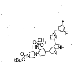 CC(C)(C)OC(=O)N1CCN(c2ccc(-c3cnc4[nH]cc(-c5ccn(Cc6cc(F)cc(F)c6)n5)c4c3)cc2NS(C)(=O)=O)CC1